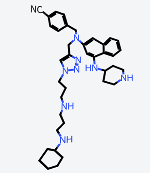 N#Cc1ccc(CN(Cc2cn(CCCNCCCNC3CCCCC3)nn2)c2cc(NC3CCNCC3)c3ccccc3c2)cc1